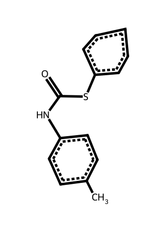 Cc1ccc(NC(=O)Sc2ccccc2)cc1